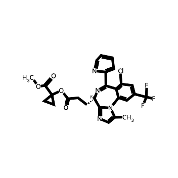 COC(=O)C1(OC(=O)CC[C@@H]2N=C(c3ccccn3)c3c(Cl)cc(C(F)(F)F)cc3-n3c(C)cnc32)CC1